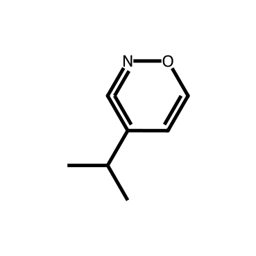 CC(C)C1=C=NOC=C1